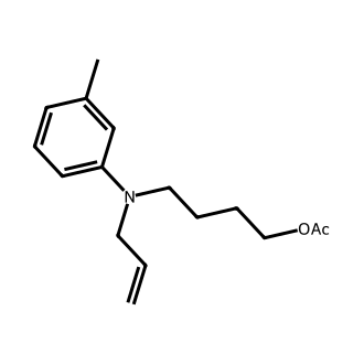 C=CCN(CCCCOC(C)=O)c1cccc(C)c1